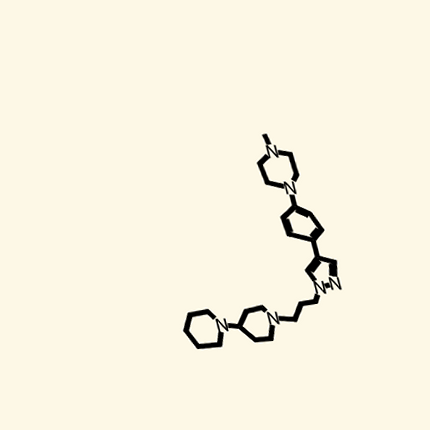 CN1CCN(c2ccc(-c3cnn(CCCN4CCC(N5CCCCC5)CC4)c3)cc2)CC1